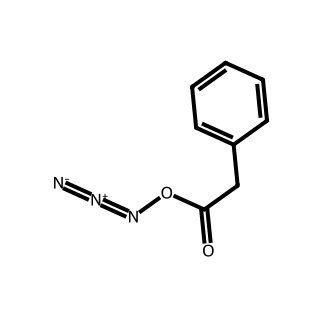 [N-]=[N+]=NOC(=O)Cc1ccccc1